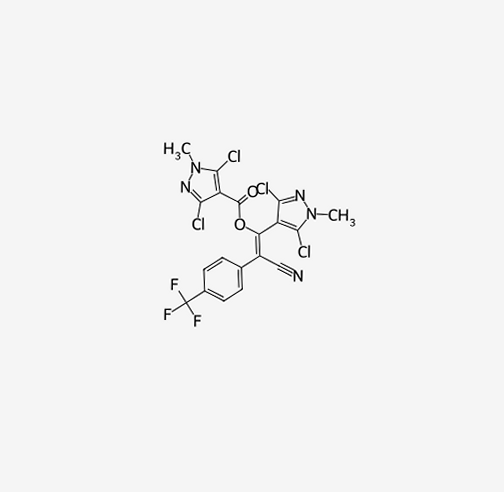 Cn1nc(Cl)c(C(=O)OC(=C(C#N)c2ccc(C(F)(F)F)cc2)c2c(Cl)nn(C)c2Cl)c1Cl